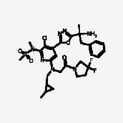 CC1CC1CN(CC(=O)N1CCC(F)(F)C1)c1cc(-c2nnc([C@](C)(N)Cc3ccccc3)o2)c(Cl)c(N(C)S(C)(=O)=O)n1